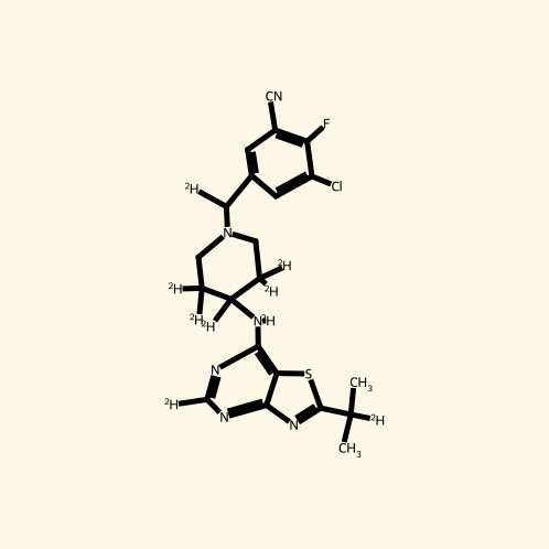 [2H]c1nc(N([2H])C2([2H])C([2H])([2H])CN(C([2H])c3cc(Cl)c(F)c(C#N)c3)CC2([2H])[2H])c2sc(C([2H])(C)C)nc2n1